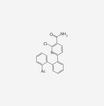 CC(=O)c1ccccc1-c1ccccc1-c1ccc(C(N)=O)c(Cl)n1